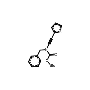 CC(C)(C)OC(=O)N(C#Cc1cccs1)Cc1ccccc1